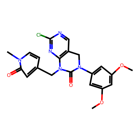 COc1cc(OC)cc(N2Cc3cnc(Cl)nc3N(Cc3ccn(C)c(=O)c3)C2=O)c1